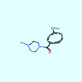 COc1cccc(C(=O)N2CCN(C(C)=O)CC2)c1